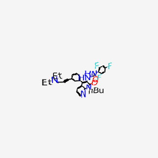 CCCCn1c(=O)c(NC(=O)Nc2c(F)cc(F)cc2F)c(-c2cccc(C#CCN(CC)CC)c2)c2cccnc21